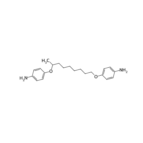 CC(CCCCCCCOc1ccc(N)cc1)Oc1ccc(N)cc1